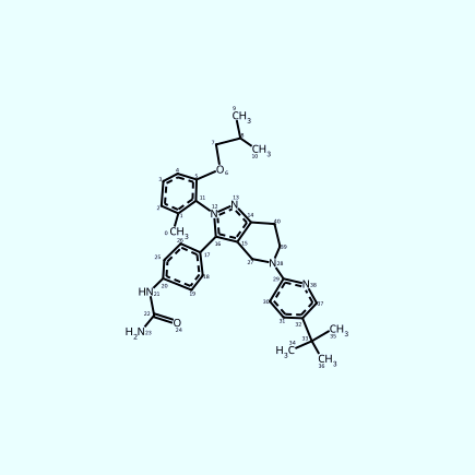 Cc1cccc(OCC(C)C)c1-n1nc2c(c1-c1ccc(NC(N)=O)cc1)CN(c1ccc(C(C)(C)C)cn1)CC2